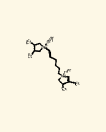 CCC[N+]1(CCCCCC[N+]2(CCC)CC(CC)C(CC)C2)CC(CC)C(CC)C1